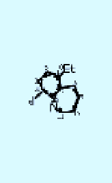 CCc1ccc(I)c2c1C=C=CC=N2